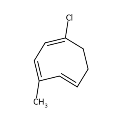 CC1=C/C=C(/Cl)CC\C=C\1